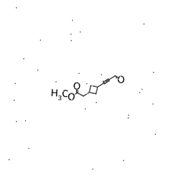 COC(=O)CC1CC(C#CC=O)C1